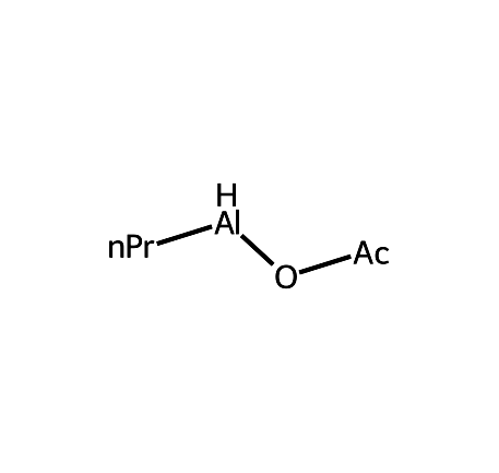 CC[CH2][AlH][O]C(C)=O